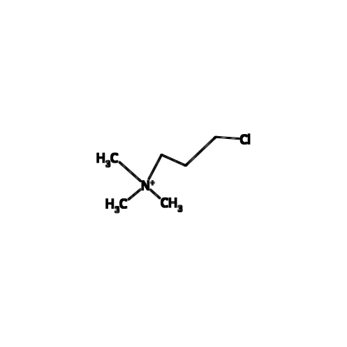 C[N+](C)(C)CCCCl